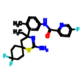 Cc1ccc(NC(=O)c2ccc(F)cn2)cc1C1(C)CC2(CCC(F)(F)CC2)SC(N)=N1